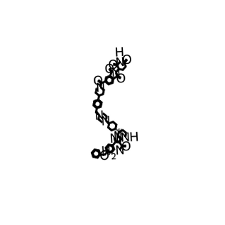 NC(=O)c1c(-c2ccc(Oc3ccccc3)cc2)nn2c1NCC[C@H]2C1CCC(N2CCN(Cc3ccc(C4CCN(C(=O)c5ccc6c(c5)C(=O)N(C5CCC(=O)NC5=O)C6=O)CC4)cc3)CC2)CC1